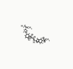 CN(C)[C@H]1CCN(c2ccc(Cl)c(C(=O)NC(=O)Nc3nc4ccc(S(C)(=O)=O)cc4s3)c2)C1